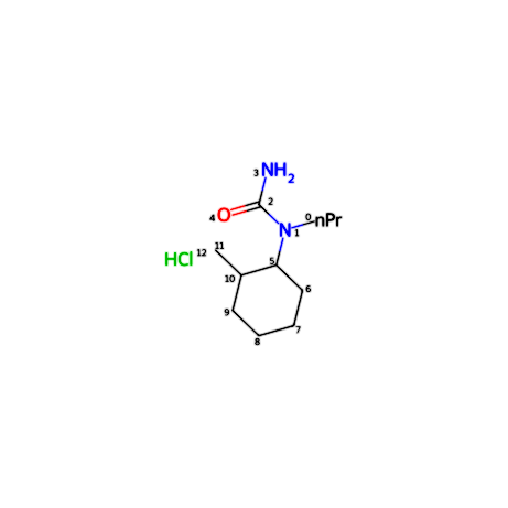 CCCN(C(N)=O)C1CCCCC1C.Cl